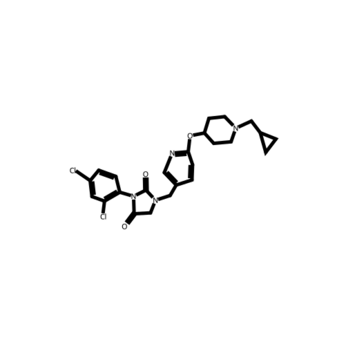 O=C1CN(Cc2ccc(OC3CCN(CC4CC4)CC3)nc2)C(=O)N1c1ccc(Cl)cc1Cl